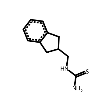 NC(=S)NCC1Cc2ccccc2C1